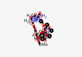 COCCOCCOCCOCCOCCOCC(=O)N[C@H](C)C(=O)N[C@H](C)C(=O)N[C@H](CC(N)=O)C(=O)Nc1ccc(COC(=O)O[C@@H](C(=O)O[C@H]2C[C@@]3(O)[C@@H](OC(=O)c4ccccc4)[C@H]4[C@](C)(C(=O)[C@H](OC(C)=O)C(=C2C)C3(C)C)[C@@H](O)CC2OC[C@]24OC(C)=O)C(NC(=O)c2ccccc2)c2ccccc2)cc1